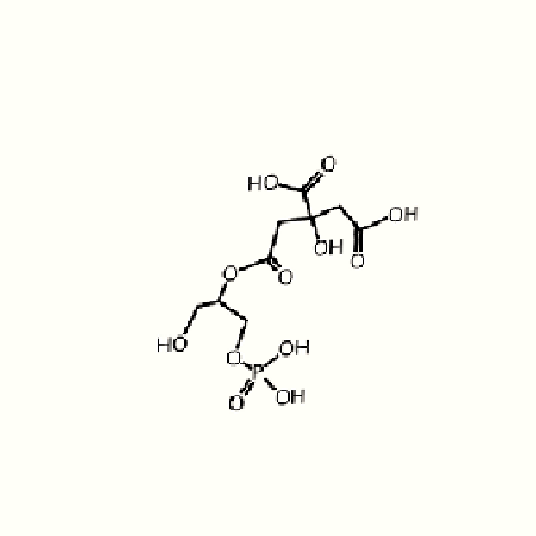 O=C(O)CC(O)(CC(=O)OC(CO)COP(=O)(O)O)C(=O)O